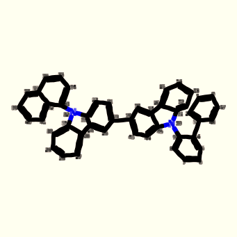 c1ccc(-c2ccccc2-n2c3ccccc3c3cc(-c4ccc5c(c4)c4ccccc4n5-c4cccc5ccccc45)ccc32)cc1